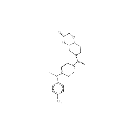 CC(c1ccc(C(F)(F)F)cc1)N1CCN(C(=O)N2CCC3OCC(=O)NC3C2)CC1